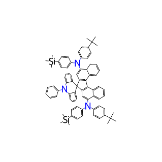 CC(C)(C)c1ccc(N(C2=CC3=C(C4=CC=CCC42)c2c(cc(N(c4ccc(C(C)(C)C)cc4)c4ccc([Si](C)(C)C)cc4)c4ccccc24)C32c3ccccc3N(c3ccccc3)c3ccccc32)c2ccc([Si](C)(C)C)cc2)cc1